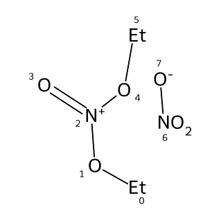 CCO[N+](=O)OCC.O=[N+]([O-])[O-]